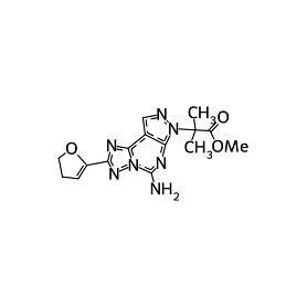 COC(=O)C(C)(C)n1ncc2c1nc(N)n1nc(C3=CCCO3)nc21